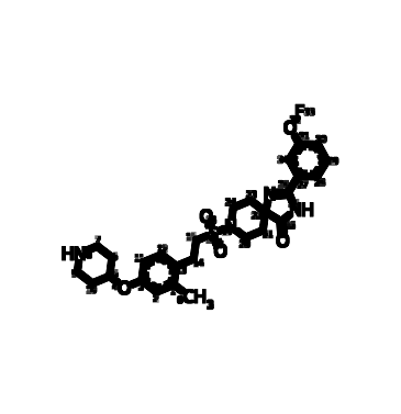 Cc1cc(OC2CCNCC2)ccc1CCS(=O)(=O)N1CCC2(CC1)N=C(c1cccc(OF)c1)NC2=O